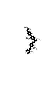 CCC(CCc1ccc(C#CC2(O)CCOCC2)c(C)c1)c1ccc(-c2ccc(CC(=O)O)cc2)c(C)c1